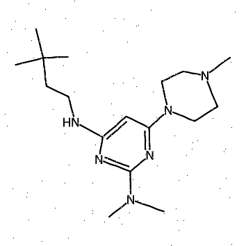 CN1CCN(c2cc(NCCC(C)(C)C)nc(N(C)C)n2)CC1